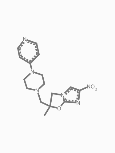 CC1(CN2CCN(c3ccncc3)CC2)Cn2cc([N+](=O)[O-])nc2O1